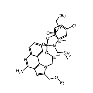 CCOCc1nc2c(N)nc3ccccc3c2n1C[C@@H](C)OP(=O)(Oc1ccc(Cl)cc1)N(C[SiH2]C)[C@@H](C)C(=O)OCC(C)(C)C